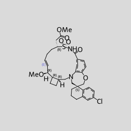 COC(=O)C[C@H]1CC/C=C/[C@H](OC)[C@@H]2CC[C@H]2CN2C[C@@]3(CCCc4cc(Cl)ccc43)COc3ccc(cc32)C(=O)NS1(=O)=O